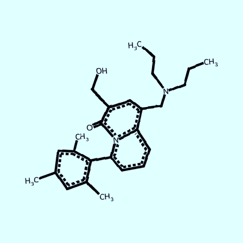 CCCN(CCC)Cc1cc(CO)c(=O)n2c(-c3c(C)cc(C)cc3C)cccc12